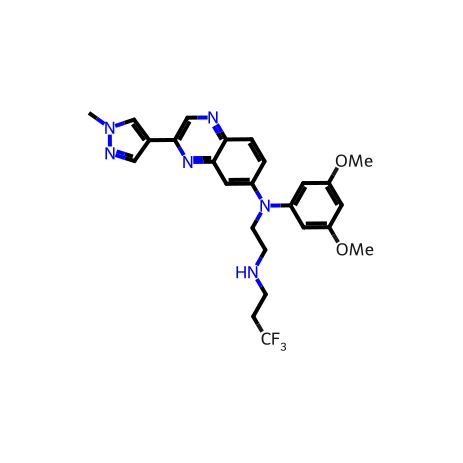 COc1cc(OC)cc(N(CCNCCC(F)(F)F)c2ccc3ncc(-c4cnn(C)c4)nc3c2)c1